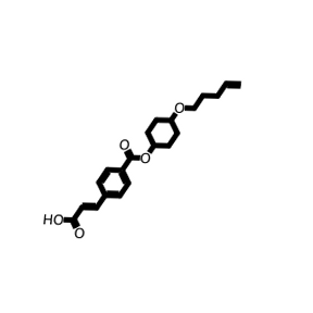 C=CCCCOC1CCC(OC(=O)c2ccc(C=CC(=O)O)cc2)CC1